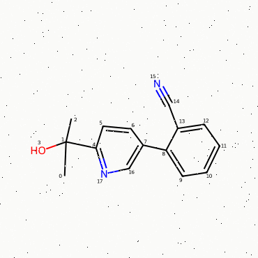 CC(C)(O)c1ccc(-c2ccccc2C#N)cn1